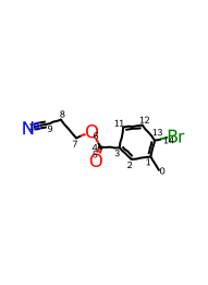 Cc1cc(C(=O)OCCC#N)ccc1Br